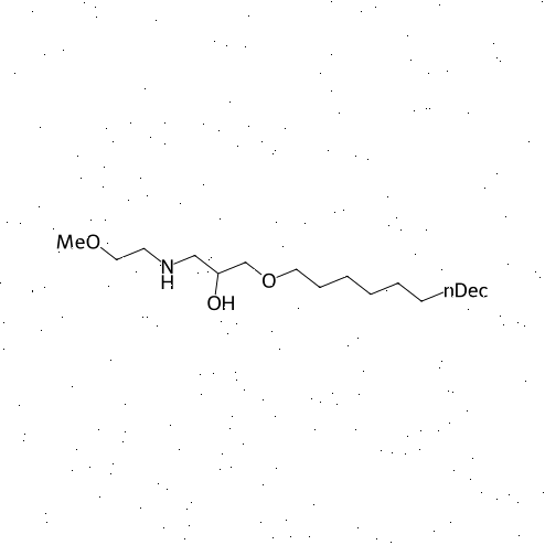 CCCCCCCCCCCCCCCCOCC(O)CNCCOC